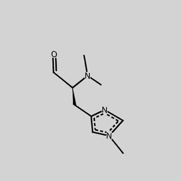 CN(C)[C@H](C=O)Cc1cn(C)cn1